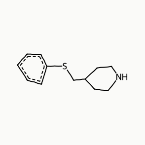 c1ccc(SCC2CCNCC2)cc1